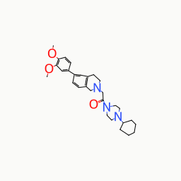 COc1ccc(-c2ccc3c(c2)CCN(CC(=O)N2CCN(C4CCCCC4)CC2)C3)cc1OC